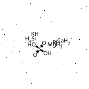 O=S(=O)(O)O.P.[CaH2].[KH].[MgH2].[SiH4]